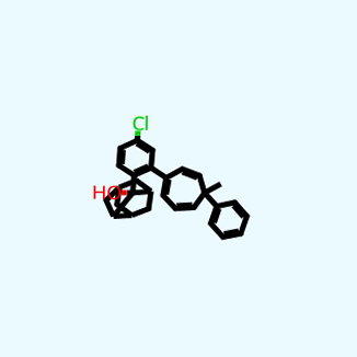 CC1(c2ccccc2)C=CC=C(c2cc(Cl)ccc2C2(O)C3CC4CC(C3)C2C4)C=C1